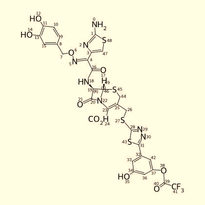 Nc1nc(C(=NOCc2ccc(O)c(O)c2)C(=O)N[C@@H]2C(=O)N3C(C(=O)O)=C(CSc4nnc(-c5cc(O)cc(OC(=O)C(F)(F)F)c5)s4)CS[C@@H]23)cs1